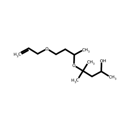 C=CCOCCC(C)OC(C)(C)CC(C)O